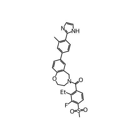 CCc1c(C(=O)N2CCOc3ccc(-c4ccc(-c5ncc[nH]5)c(C)c4)cc3C2)ccc(S(C)(=O)=O)c1F